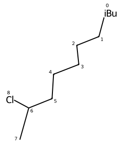 CCC(C)CCCCCC(C)Cl